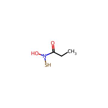 CCC(=O)N(O)S